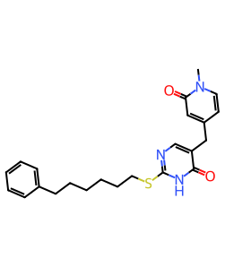 Cn1ccc(Cc2cnc(SCCCCCCc3ccccc3)[nH]c2=O)cc1=O